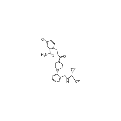 NC(=O)c1cc(Cl)ccc1C[CH]C(=O)N1CCN(c2ccccc2CNC(C2CC2)C2CC2)CC1